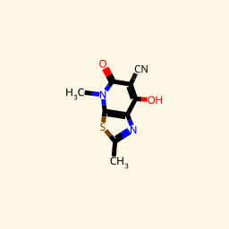 Cc1nc2c(O)c(C#N)c(=O)n(C)c2s1